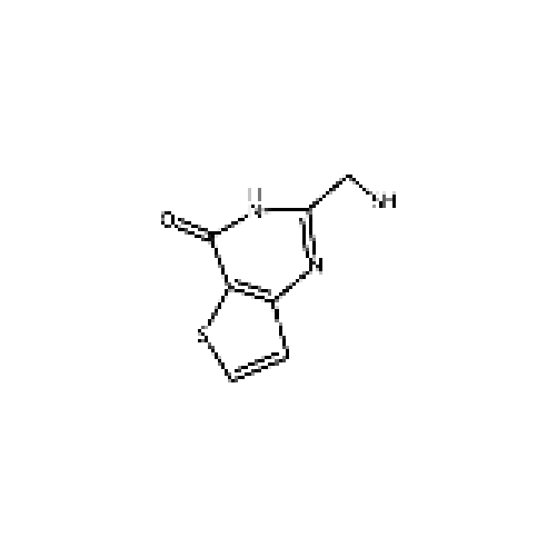 O=c1[nH]c(CS)nc2ccsc12